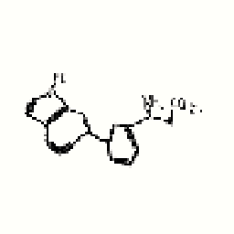 CCn1ccc2ccc(-c3cccc([C@@H](N)CC(=O)O)c3)cc21